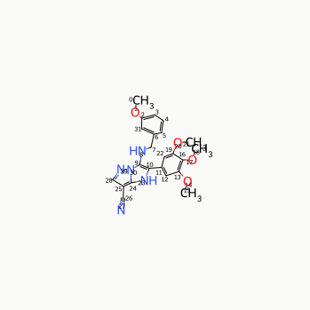 COc1cccc(CNc2c(-c3cc(OC)c(OC)c(OC)c3)[nH]c3c(C#N)cnn23)c1